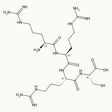 N=C(N)NCCC[C@H](NC(=O)[C@H](CCCNC(=N)N)NC(=O)[C@@H](N)CCCNC(=N)N)C(=O)N[C@@H](CS)C(=O)O